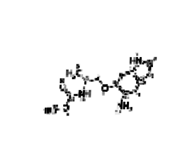 C[C@H](COc1cc2[nH]ncc2cc1N)NC(=O)OC(C)(C)C